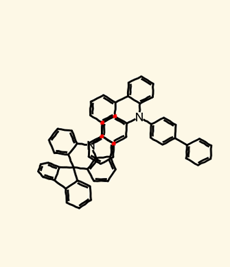 c1ccc(-c2ccc(N(c3ccc4c(c3)c3cccc5c3n4-c3ccccc3C53c4ccccc4-c4ccccc43)c3ccccc3-c3cccc(-c4ccccc4)c3)cc2)cc1